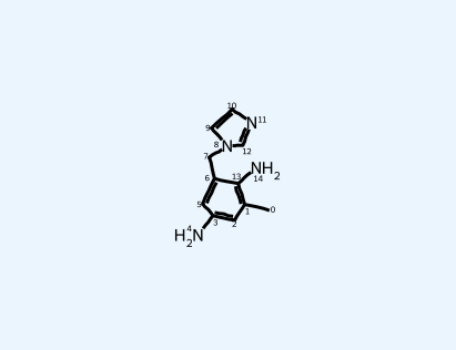 Cc1cc(N)cc(Cn2ccnc2)c1N